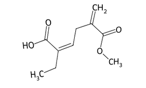 C=C(CC=C(CC)C(=O)O)C(=O)OC